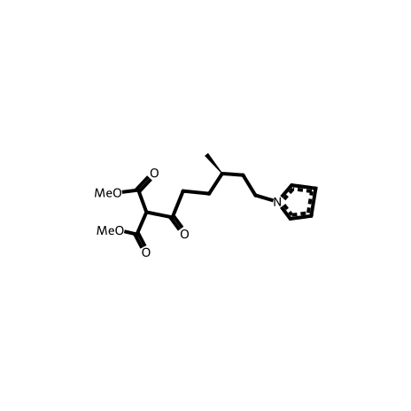 COC(=O)C(C(=O)CC[C@@H](C)CCn1cccc1)C(=O)OC